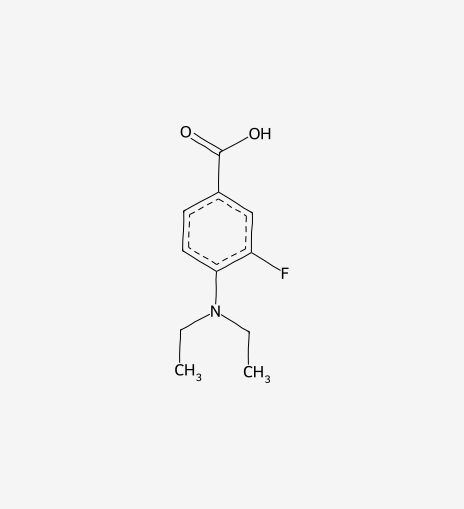 CCN(CC)c1ccc(C(=O)O)cc1F